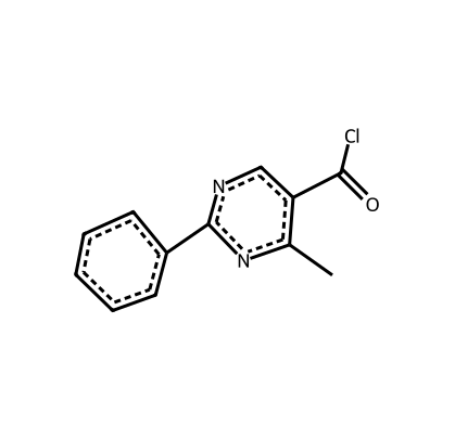 Cc1nc(-c2ccccc2)ncc1C(=O)Cl